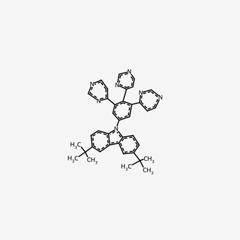 CC(C)(C)c1ccc2c(c1)c1cc(C(C)(C)C)ccc1n2-c1cc(-c2ccncn2)c(-c2ccncn2)c(-c2ccncn2)c1